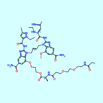 CCN/C(=C\C(C)=N)C(=O)Nc1nc2cc(C(N)=O)cc(OC)c2n1C/C=C/Cn1c(NC(=O)c2cc(C)nn2CC)nc2cc(C(N)=O)cc(OCCCOC(=O)[C@H](C)NC(=O)CCOCCOCCNC(=O)CC)c21